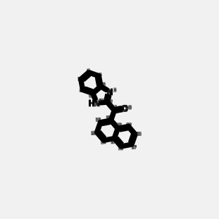 O=C(c1nc2ccccc2[nH]1)c1cccc2ccccc12